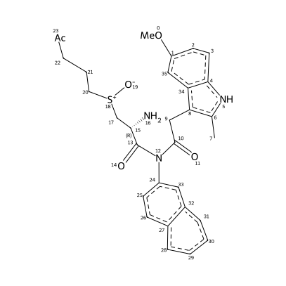 COc1ccc2[nH]c(C)c(CC(=O)N(C(=O)[C@@H](N)C[S+]([O-])CCCC(C)=O)c3ccc4ccccc4c3)c2c1